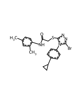 Cc1ccc(NC(=O)CSc2nnc(Br)n2-c2ccc(C3CC3)cc2)c(C)c1